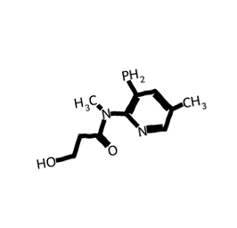 Cc1cnc(N(C)C(=O)CCO)c(P)c1